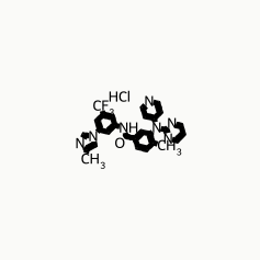 Cc1cn(-c2cc(NC(=O)c3ccc(C)c(N(c4ccncc4)c4ncccn4)c3)cc(C(F)(F)F)c2)cn1.Cl